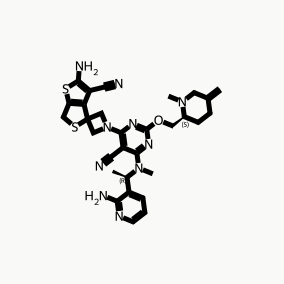 C=C1CC[C@@H](COc2nc(N3CC4(C3)SCc3sc(N)c(C#N)c34)c(C#N)c(N(C)[C@H](C)c3cccnc3N)n2)N(C)C1